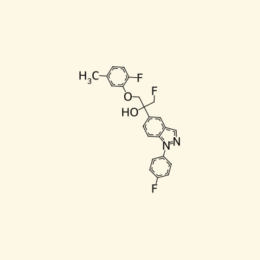 Cc1ccc(F)c(OCC(O)(CF)c2ccc3c(cnn3-c3ccc(F)cc3)c2)c1